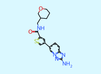 Nc1nc2ccc(-c3csc(C(=O)NCC4CCCOC4)c3)cn2n1